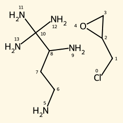 ClCC1CO1.NCCC(N)C(N)(N)N